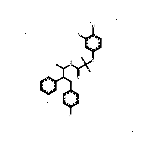 CC(NC(=O)C(C)(C)Oc1ccc(Cl)c(F)c1)C(Cc1ccc(Cl)cc1)c1ccccc1